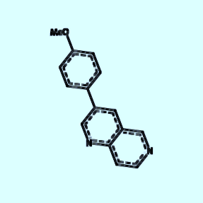 COc1ccc(-c2cnc3ccncc3c2)cc1